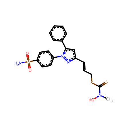 CN(O)C(=S)SCC=Cc1cc(-c2ccccc2)n(-c2ccc(S(N)(=O)=O)cc2)n1